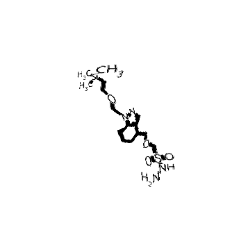 C[Si](C)(C)CCOCn1ncc2c1CCCC2COCS(=O)(=O)NN